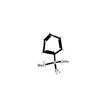 COS(OC)(c1ccccc1)C(F)(F)F